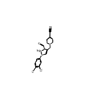 N#CC1CCN(CC2=CN(c3ccc(Cl)c(Cl)c3)NC2C=O)CC1